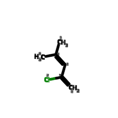 C=C(Cl)C=C(C)C